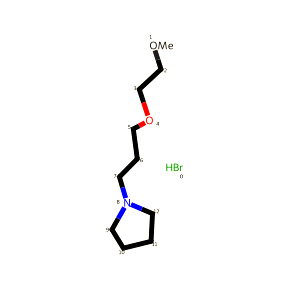 Br.COCCOCCCN1CCCC1